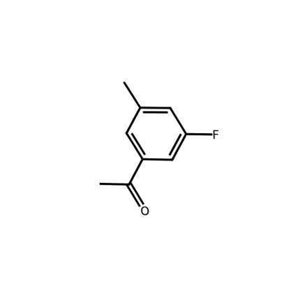 CC(=O)c1cc(C)cc(F)c1